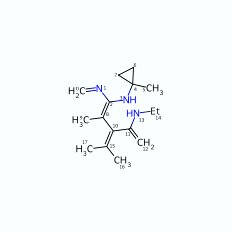 C=N/C(NC1(C)CC1)=C(\C)C(C(=C)NCC)=C(C)C